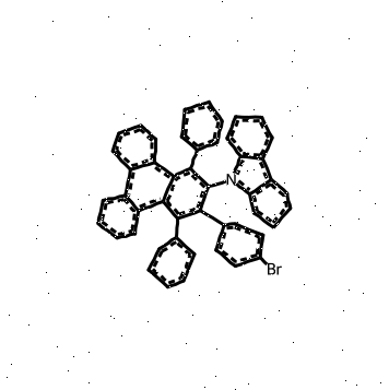 Brc1ccc(-c2c(-n3c4ccccc4c4ccccc43)c(-c3ccccc3)c3c4ccccc4c4ccccc4c3c2-c2ccccc2)cc1